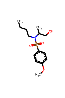 CCCCN(C(C)CO)S(=O)(=O)c1ccc(OC)cc1